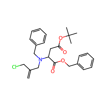 C=C(CCl)CN(Cc1ccccc1)C(CC(=O)OC(C)(C)C)C(=O)OCc1ccccc1